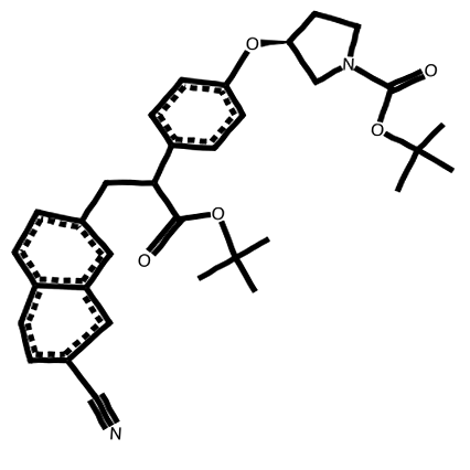 CC(C)(C)OC(=O)C(Cc1ccc2ccc(C#N)cc2c1)c1ccc(O[C@H]2CCN(C(=O)OC(C)(C)C)C2)cc1